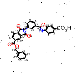 O=C(O)c1ccc2nc(-c3cccc(N4C(=O)c5ccc(C(=O)OCc6ccccc6)cc5C4=O)c3)oc2c1